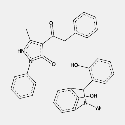 Cc1[nH]n(-c2ccccc2)c(=O)c1C(=O)Cc1ccccc1.Oc1ccccc1C1c2cccc(c2O)[N]1[Al]